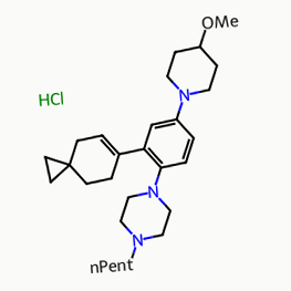 CCCCCN1CCN(c2ccc(N3CCC(OC)CC3)cc2C2=CCC3(CC2)CC3)CC1.Cl